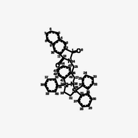 O=C1c2cc3ccccc3cc2C(=O)N1CCCN1[Si](c2ccccc2)(c2ccccc2)CC[Si]1(c1ccccc1)c1ccccc1